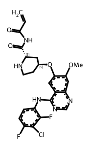 C=CC(=O)NC(=O)[C@@H]1C[C@@H](Oc2cc3c(Nc4ccc(F)c(Cl)c4F)ncnc3cc2OC)CCN1